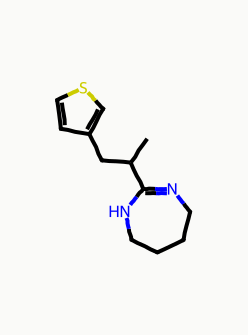 CC(Cc1ccsc1)C1=NCCCCN1